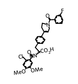 COc1cc(Cl)c(C(=O)N[C@@H](Cc2ccc(C3=CCN(C(=O)c4cccc(F)c4)CC3)cc2)C(=O)O)cc1OC